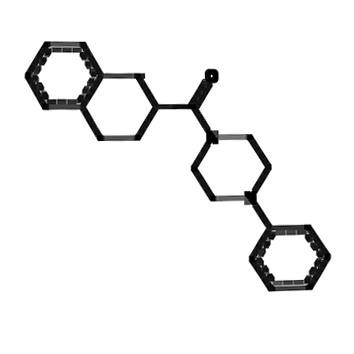 O=C(C1[CH]c2ccccc2CC1)N1CCN(c2ccccc2)CC1